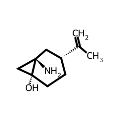 C=C(C)[C@@H]1CC[C@@]2(O)C[C@]2(N)C1